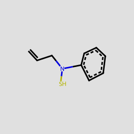 C=CCN(S)c1ccccc1